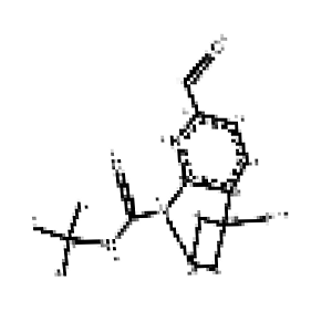 CC(C)(C)OC(=O)N1c2nc(C=O)ccc2C2(F)CC1C2